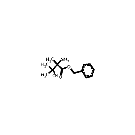 CC(C)(C#N)C(C)([SiH3])C(=O)OCc1ccccc1